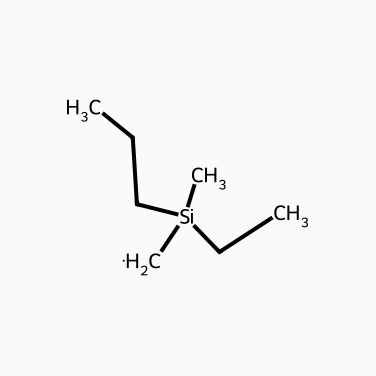 [CH2][Si](C)(CC)CCC